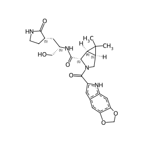 CC1(C)[C@@H]2[C@@H](C(=O)N[C@H](CO)C[C@@H]3CCNC3=O)N(C(=O)c3cc4cc5c(cc4[nH]3)OCO5)C[C@@H]21